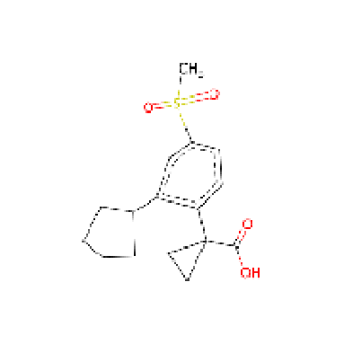 CS(=O)(=O)c1ccc(C2(C(=O)O)CC2)c(C2CCCC2)c1